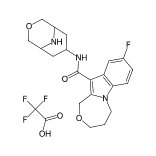 O=C(NC1CC2COCC(C1)N2)c1c2n(c3ccc(F)cc13)CCCOC2.O=C(O)C(F)(F)F